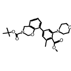 COC(=O)c1c(C)cc(-c2cccc3c2OCN(C(=O)OC(C)(C)C)C3)cc1N1CCOCC1